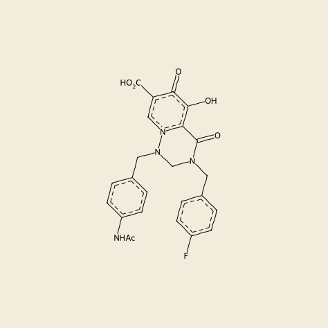 CC(=O)Nc1ccc(CN2CN(Cc3ccc(F)cc3)C(=O)c3c(O)c(=O)c(C(=O)O)cn32)cc1